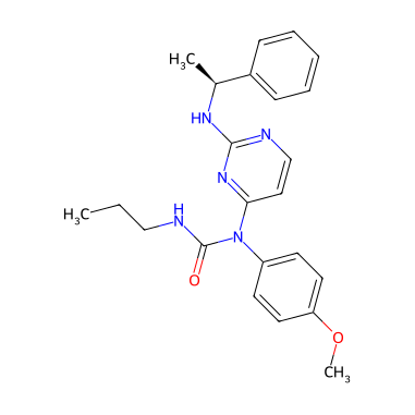 CCCNC(=O)N(c1ccc(OC)cc1)c1ccnc(N[C@@H](C)c2ccccc2)n1